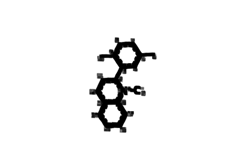 [CH2-][n+]1c(-c2cc(C)ccc2C)ccc2ccccc21